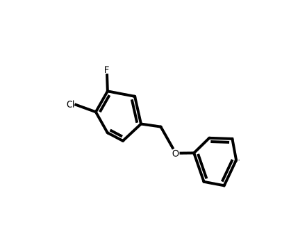 Fc1cc(COc2cc[c]cc2)ccc1Cl